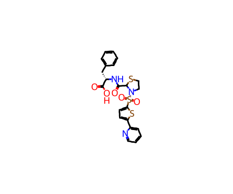 O=C(N[C@@H](Cc1ccccc1)C(=O)O)C1SCCN1S(=O)(=O)c1ccc(-c2ccccn2)s1